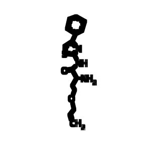 C=CCOCC[C@H](N)C(=O)Nc1nc(-c2ccccc2)cs1